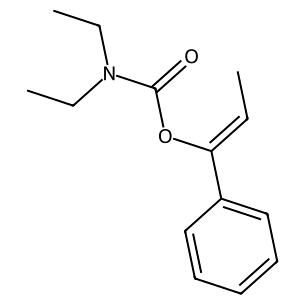 CC=C(OC(=O)N(CC)CC)c1ccccc1